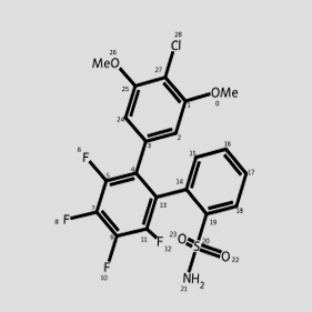 COc1cc(-c2c(F)c(F)c(F)c(F)c2-c2ccccc2S(N)(=O)=O)cc(OC)c1Cl